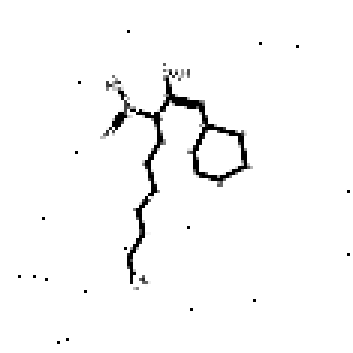 NCCCCCCC(C(=CC1CCCCC1)C(=O)O)[PH](=O)O